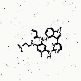 C=CC(=C)Nc1cc(Nc2nccc(-c3cn(C)c4ccccc34)n2)c(C)cc1N(C)CCN(C)C